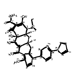 CN(C)[C@@H]1C(O)=C(C(N)=O)C(=O)[C@@]2(O)C(O)=C3C(=O)c4c(O)ccc(-c5ccc(-n6cccc6)nc5)c4C[C@H]3C[C@@H]12